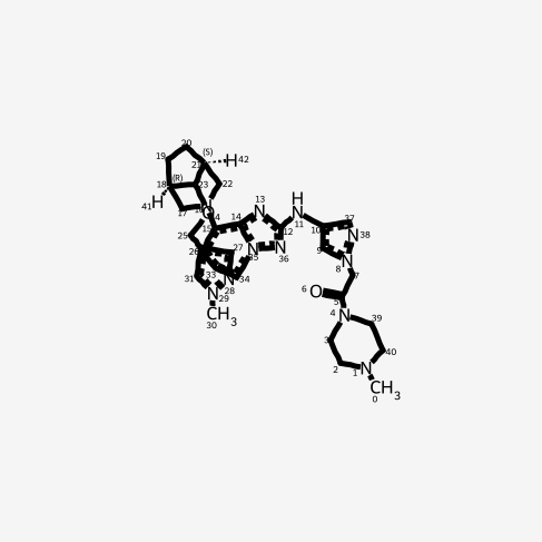 CN1CCN(C(=O)Cn2cc(Nc3nc4c(N5C[C@H]6CC[C@@H](C5)C6OCc5cnn(C)c5)cccn4n3)cn2)CC1